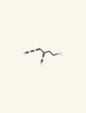 CCCC(=C=O)C=C=C=O